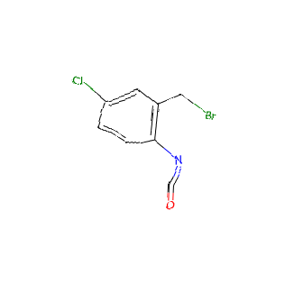 O=C=Nc1ccc(Cl)cc1CBr